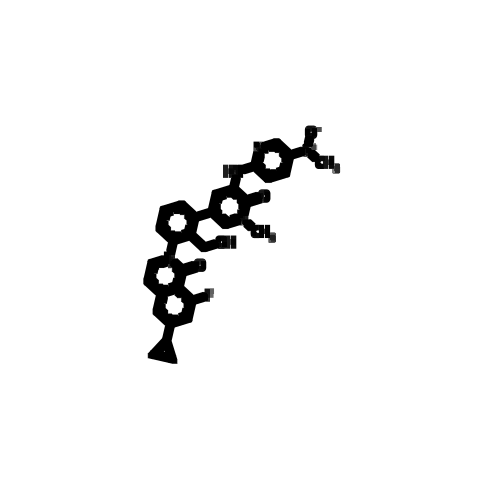 Cn1cc(-c2cccc(-n3ccc4cc(C5CC5)cc(F)c4c3=O)c2CO)cc(Nc2ccc([S+](C)[O-])cn2)c1=O